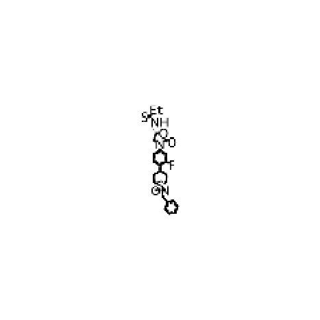 CCC(=S)NC[C@H]1CN(c2ccc(C3CCS(=O)(=NCc4ccccc4)CC3)c(F)c2)C(=O)O1